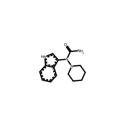 NC(=O)N(c1c[nH]c2ccccc12)N1CCCCC1